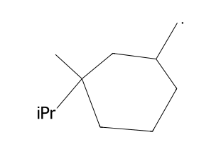 [CH2]C1CCCC(C)(C(C)C)C1